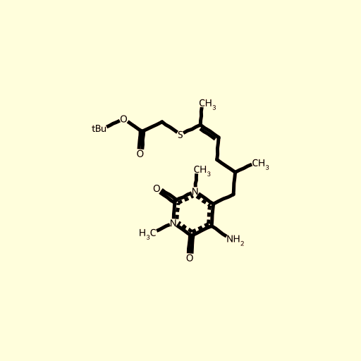 C/C(=C/CC(C)Cc1c(N)c(=O)n(C)c(=O)n1C)SCC(=O)OC(C)(C)C